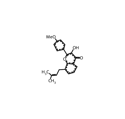 COc1ccc(-c2oc3c(CC=C(C)C)cccc3c(=O)c2O)cc1